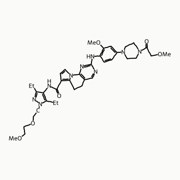 CCc1nn(CCOCCOC)c(CC)c1NC(=O)c1ccn2c1CCc1cnc(Nc3ccc(N4CCN(C(=O)COC)CC4)cc3OC)nc1-2